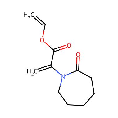 C=COC(=O)C(=C)N1CCCCCC1=O